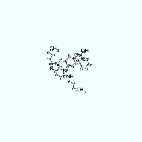 CCCCNc1ccc2nc(CCCC)n(Cc3ccc(-c4ccccc4C(=O)O)cc3)c2n1